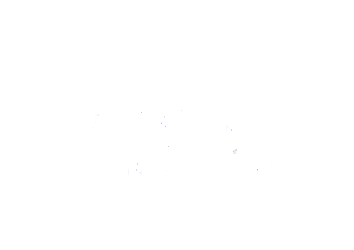 C#CC(C=CCN)(NC(C)=O)C(=O)NCCC